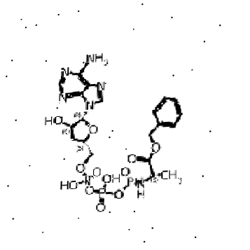 C[C@H](N[PH](=O)OP(=O)(O)OP(=O)(O)OC[C@@H]1C[C@@H](O)[C@H](n2cnc3c(N)ncnc32)O1)C(=O)OCc1ccccc1